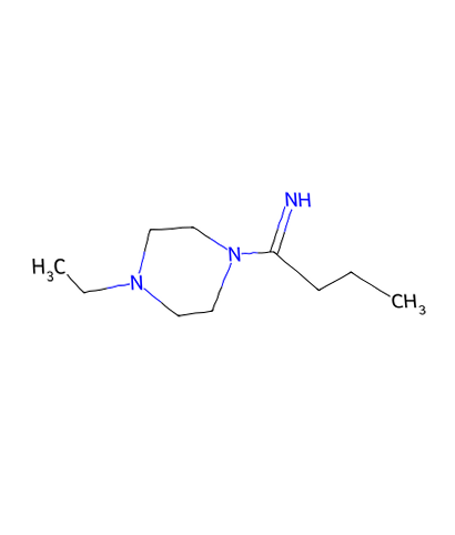 CCCC(=N)N1CCN(CC)CC1